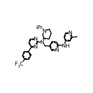 Cc1cc(Nc2ccc(CN(c3nccc(-c4ccc(C(F)(F)F)cc4)n3)[C@H]3CCCN(C(C)C)C3)cn2)ccn1